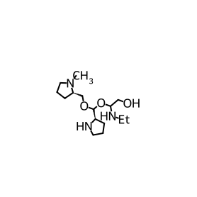 CCNC(CO)OC(OC[C@H]1CCCN1C)[C@H]1CCCN1